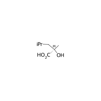 CC(C)C[C@@](C)(O)C(=O)O